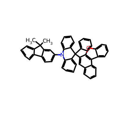 CC1(C)c2ccccc2-c2ccc(N3c4ccccc4C(c4ccccc4)(c4cc5ccccc5c5c4oc4ccccc45)c4ccccc43)cc21